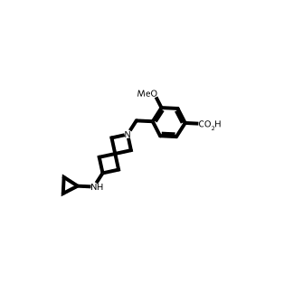 COc1cc(C(=O)O)ccc1CN1CC2(CC(NC3CC3)C2)C1